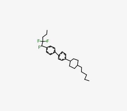 CCCCCC1CCC(c2ccc(-c3ccc(C(F)C(F)(F)CCC)cc3)cc2)CC1